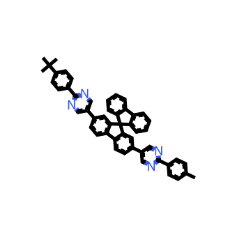 Cc1ccc(-c2ncc(-c3ccc4c(c3)C3(c5ccccc5-c5ccccc53)c3cc(-c5cnc(-c6ccc(C(C)(C)C)cc6)nc5)ccc3-4)cn2)cc1